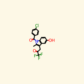 Cc1c(CC(=O)C(F)(F)F)c2cc(O)ccc2n1C(=O)c1ccc(Cl)cc1